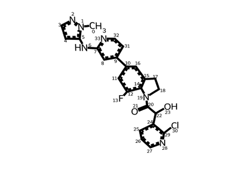 Cn1nccc1Nc1cc(-c2cc(F)c3c(c2)CCN3C(=O)C(O)c2cccnc2Cl)ccn1